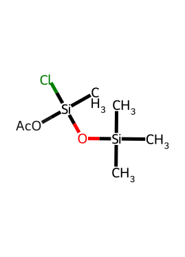 CC(=O)O[Si](C)(Cl)O[Si](C)(C)C